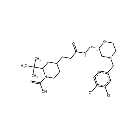 CC(C)(C)C1CC(CCC(=O)NC[C@H]2CN(Cc3ccc(Cl)c(Cl)c3)CCO2)CCN1C(=O)O